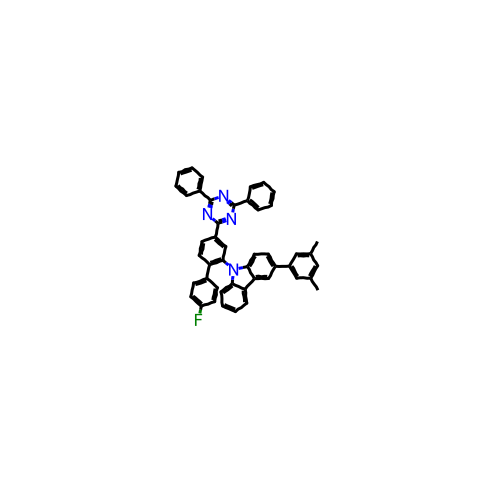 Cc1cc(C)cc(-c2ccc3c(c2)c2ccccc2n3-c2cc(-c3nc(-c4ccccc4)nc(-c4ccccc4)n3)ccc2-c2ccc(F)cc2)c1